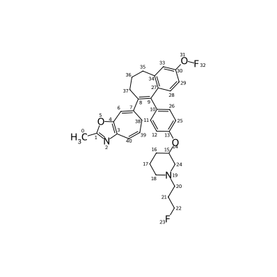 Cc1nc2c(o1)C=C(C1=C(c3ccc(OC4CCCN(CCCF)C4)cc3)c3ccc(OF)cc3CCC1)CC=C2